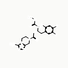 Cc1nnc2n1CCN(C(=O)C[C@@H](Cc1cc(F)c(F)cc1F)NC(=O)OC(C)(C)C)C2